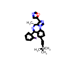 C[C@H]1N=C(c2ccccc2I)c2cc(C#C[Si](C)(C)C)ccc2-n2cnc(-c3cnco3)c21